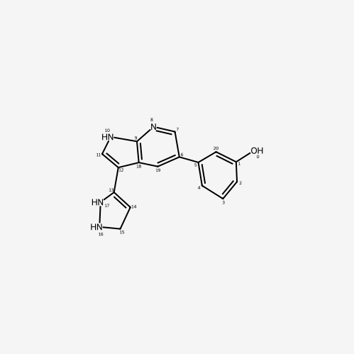 Oc1cccc(-c2cnc3[nH]cc(C4=CCNN4)c3c2)c1